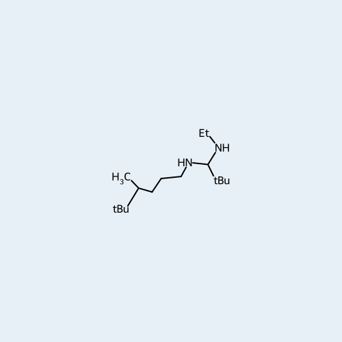 CCNC(NCCCC(C)C(C)(C)C)C(C)(C)C